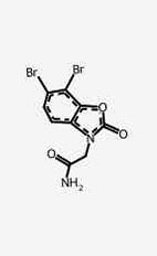 NC(=O)Cn1c(=O)oc2c(Br)c(Br)ccc21